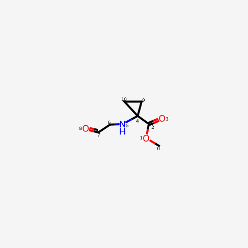 COC(=O)C1(NCC=O)CC1